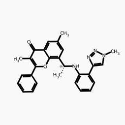 Cc1cc([C@@H](C)Nc2ccccc2-c2cn(C)nn2)c2oc(-c3ccccc3)c(C)c(=O)c2c1